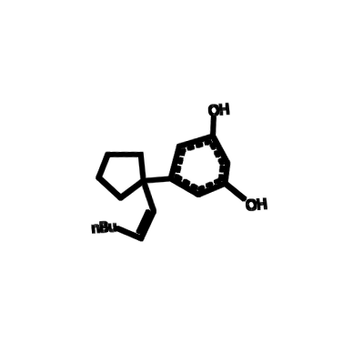 CCCC/C=C\C1(c2cc(O)cc(O)c2)CCCC1